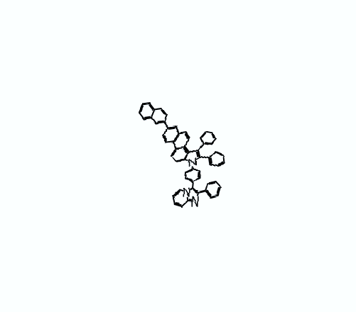 c1ccc(-c2nc3ccccn3c2-c2ccc(-n3c(-c4ccccc4)c(-c4ccccc4)c4c5ccc6cc(-c7ccc8ccccc8c7)ccc6c5ccc43)cc2)cc1